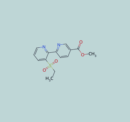 CCS(=O)(=O)c1cccnc1-c1ccc(C(=O)OC)cn1